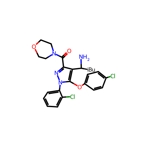 CCC(C)C(N)c1c(C(=O)N2CCOCC2)nn(-c2ccccc2Cl)c1Oc1ccc(Cl)cc1